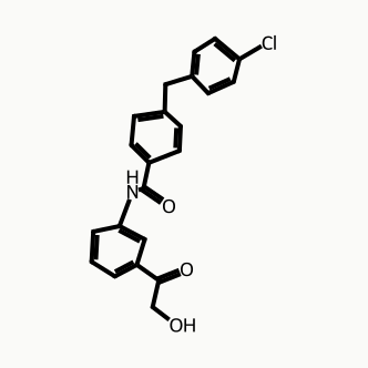 O=C(CO)c1cccc(NC(=O)c2ccc(Cc3ccc(Cl)cc3)cc2)c1